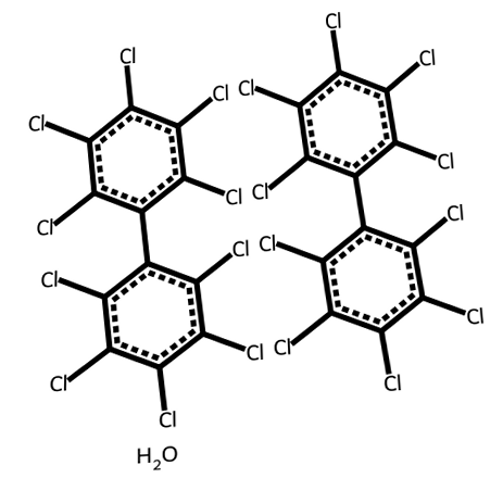 Clc1c(Cl)c(Cl)c(-c2c(Cl)c(Cl)c(Cl)c(Cl)c2Cl)c(Cl)c1Cl.Clc1c(Cl)c(Cl)c(-c2c(Cl)c(Cl)c(Cl)c(Cl)c2Cl)c(Cl)c1Cl.O